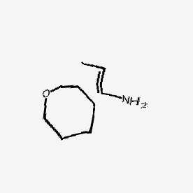 C1CCOCC1.CC=CN